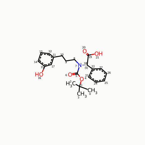 CC(C)(C)OC(=O)N(CCCc1cccc(O)c1)[C@H](C(=O)O)c1ccccc1